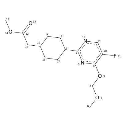 COCOc1nc(C2CCC(CC(=O)OC)CC2)ncc1F